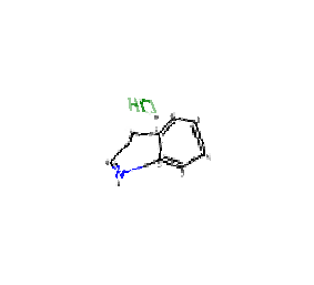 C1=Nc2ccccc2C1.Cl